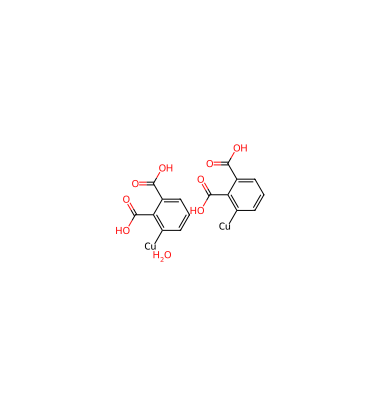 O.O=C(O)c1ccc[c]([Cu])c1C(=O)O.O=C(O)c1ccc[c]([Cu])c1C(=O)O